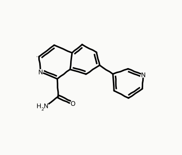 NC(=O)c1n[c]cc2ccc(-c3cccnc3)cc12